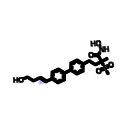 CC(CCc1ccc(-c2ccc(/C=C/CCO)cc2)cc1)(C(=O)NO)S(C)(=O)=O